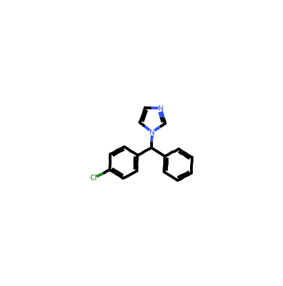 Clc1ccc(C(c2ccccc2)n2ccnc2)cc1